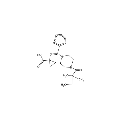 CCC(C)(C)C(=O)N1CCN(C(=NC2(C(=O)O)CC2)c2ccccn2)CC1